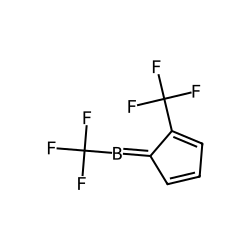 FC(F)(F)B=C1C=CC=C1C(F)(F)F